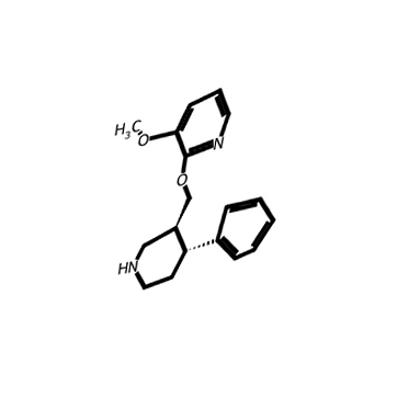 COc1cccnc1OC[C@@H]1CNCC[C@H]1c1ccccc1